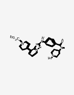 CCOC(=O)N1CC=C(c2cccn3nc(Nc4ccc(C(=O)N(C)C5CCN(C(C)C)CC5)cc4)nc23)CC1